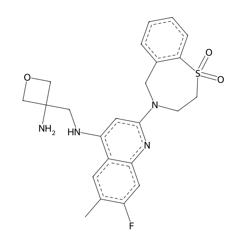 Cc1cc2c(NCC3(N)COC3)cc(N3CCS(=O)(=O)c4ccccc4C3)nc2cc1F